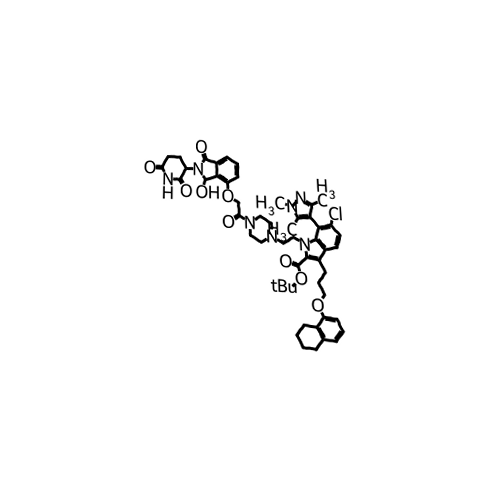 Cc1nn(C)c(C)c1-c1c(Cl)ccc2c(CCCOc3cccc4c3CCCC4)c(C(=O)OC(C)(C)C)n(CCN3CCN(C(=O)COc4cccc5c4C(O)N(C4CCC(=O)NC4=O)C5=O)CC3)c12